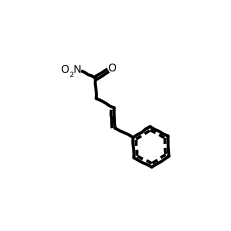 O=C(CC=Cc1ccccc1)[N+](=O)[O-]